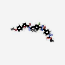 CC(C)Oc1ccc(-c2ccc(C(=O)N[C@H](Cc3ccc(-c4noc(-c5ccc(NC(=O)OC(C)(C)C)cc5)n4)c(F)c3)C(=O)O)o2)cc1